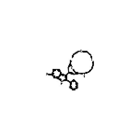 Fc1ccc2c(C3=CC4CCC(CCCCCCCCCCN4)C3)c(-c3ccccc3)[nH]c2c1